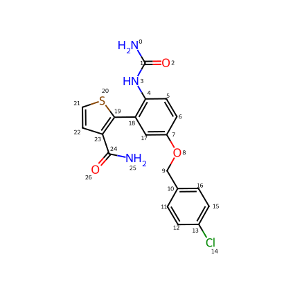 NC(=O)Nc1ccc(OCc2ccc(Cl)cc2)cc1-c1sccc1C(N)=O